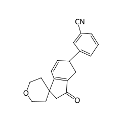 N#Cc1cccc(C2C=CC3=C(C2)C(=O)CC32CCOCC2)c1